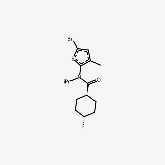 Cc1cc(Br)sc1N(C(=O)[C@H]1CC[C@H](C)CC1)C(C)C